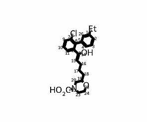 CCc1cccc(-c2c(Cl)cccc2C(O)=CCCCC2CN(C(=O)O)CCO2)c1